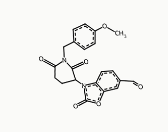 COc1ccc(CN2C(=O)CCC(n3c(=O)oc4cc(C=O)ccc43)C2=O)cc1